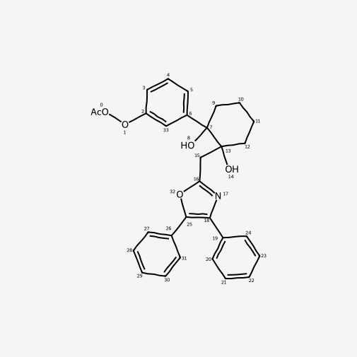 CC(=O)OOc1cccc(C2(O)CCCCC2(O)Cc2nc(-c3ccccc3)c(-c3ccccc3)o2)c1